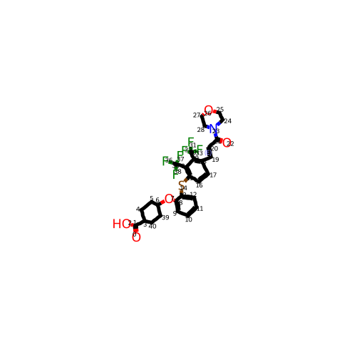 O=C(O)C1CCC(Oc2ccccc2Sc2ccc(/C=C/C(=O)N3CCOCC3)c(C(F)(F)F)c2C(F)(F)F)CC1